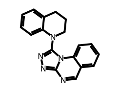 c1ccc2c(c1)CCCN2c1nnc2ncc3ccccc3n12